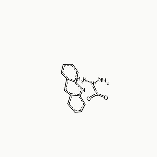 N[N+](N)=S(=O)=O.c1ccc2nc3ccccc3cc2c1